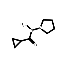 CN(C(=O)C1CC1)N1CCCC1